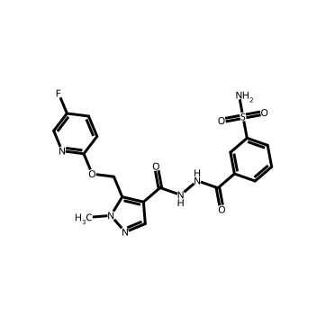 Cn1ncc(C(=O)NNC(=O)c2cccc(S(N)(=O)=O)c2)c1COc1ccc(F)cn1